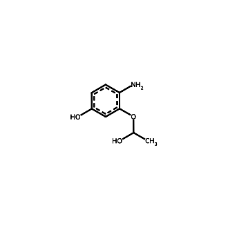 CC(O)Oc1cc(O)ccc1N